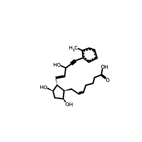 Cc1ccccc1C#CC(O)/C=C/[C@@H]1[C@@H](C/C=C\CCCC(=O)O)[C@@H](O)C[C@H]1O